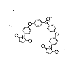 O=C1C=CC(=O)N1c1ccc(Oc2ccc([S+]([O-])c3ccc(Oc4ccc(N5C(=O)C=CC5=O)cc4)cc3)cc2)cc1